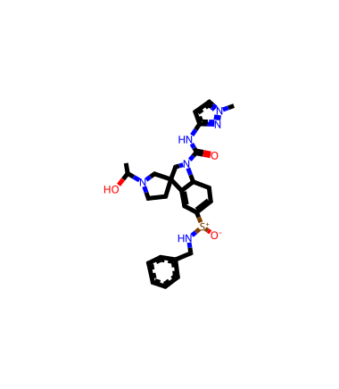 CC(O)N1CCC2(C1)CN(C(=O)Nc1ccn(C)n1)C1CC=C([S+]([O-])NCc3ccccc3)C=C12